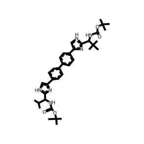 CC(C)C(NC(=O)OC(C)(C)C)c1nc(-c2ccc(-c3ccc(-c4c[nH]c(C(NC(=O)OC(C)(C)C)C(C)(C)C)n4)cc3)cc2)c[nH]1